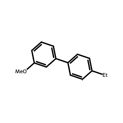 CCc1[c]cc(-c2cccc(OC)c2)cc1